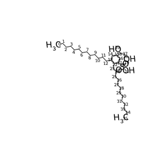 CCCCCCCCCCCCCc1cccc(S(=O)(=O)O)c1CCCCCCCCCCCCC.OCCO